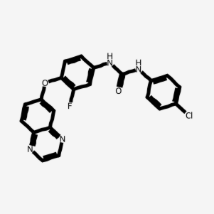 O=C(Nc1ccc(Cl)cc1)Nc1ccc(Oc2ccc3nccnc3c2)c(F)c1